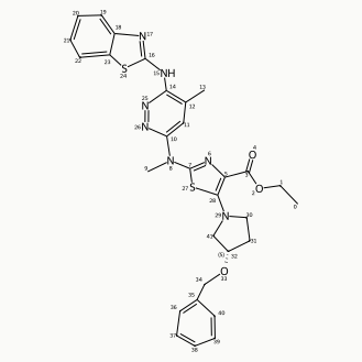 CCOC(=O)c1nc(N(C)c2cc(C)c(Nc3nc4ccccc4s3)nn2)sc1N1CC[C@H](OCc2ccccc2)C1